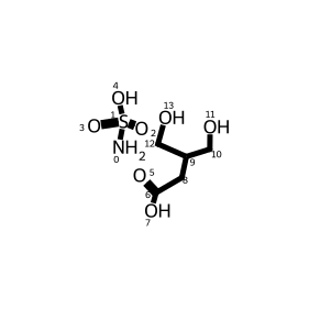 NS(=O)(=O)O.O=C(O)CC(CO)CO